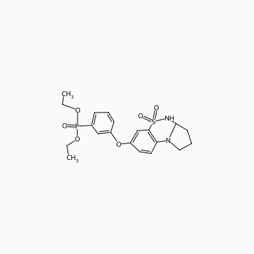 CCOP(=O)(OCC)c1cccc(Oc2ccc3c(c2)S(=O)(=O)NC2CCCN32)c1